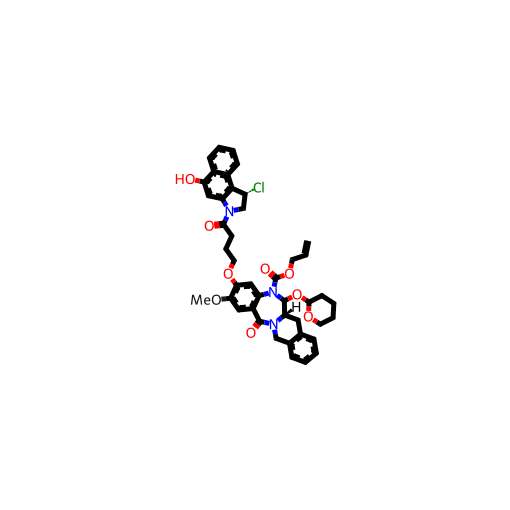 C=CCOC(=O)N1c2cc(OCCCC(=O)N3C[C@@H](Cl)c4c3cc(O)c3ccccc43)c(OC)cc2C(=O)N2Cc3ccccc3C[C@H]2C1OC1CCCCO1